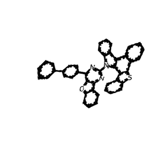 c1ccc(-c2ccc(-c3nc(-n4c5ccccc5c5c6ccccc6c6sc7ccccc7c6c54)nc4c3oc3ccccc34)cc2)cc1